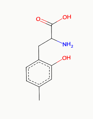 Cc1ccc(CC(N)C(=O)O)c(O)c1